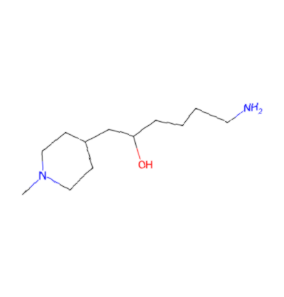 CN1CCC(CC(O)CCCCN)CC1